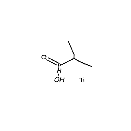 CC(C)[PH](=O)O.[Ti]